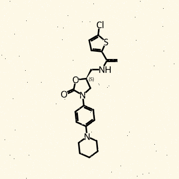 C=C(NC[C@H]1CN(c2ccc(N3CCCCC3)cc2)C(=O)O1)c1ccc(Cl)s1